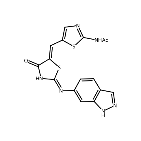 CC(=O)Nc1ncc(C=C2SC(=Nc3ccc4cn[nH]c4c3)NC2=O)s1